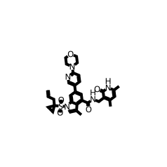 C=CCC1(S(=O)(=O)n2cc(C)c3c(C(=O)NCc4c(C)cc(C)[nH]c4=O)cc(-c4ccc(N5CCOCC5)nc4)cc32)CC1